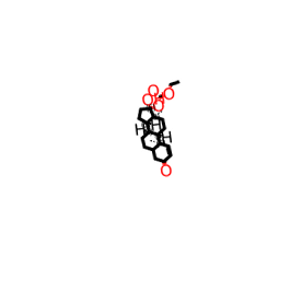 CCOC(=O)O[C@@]1(O)CC[C@H]2[C@@H]3CCC4CC(=O)C=C[C@]4(C)[C@H]3CC[C@@]21C